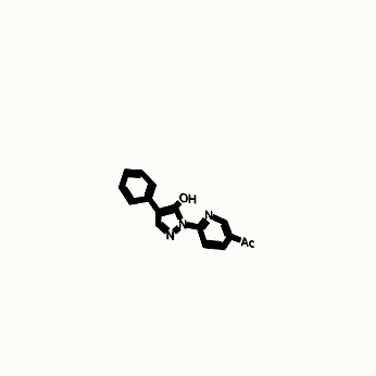 CC(=O)c1ccc(-n2ncc(-c3ccccc3)c2O)nc1